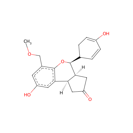 COCc1cc(O)cc2c1O[C@@H](C1C=CC(O)=CC1)[C@H]1CC(=O)C[C@@H]21